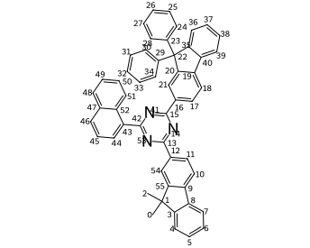 CC1(C)c2ccccc2-c2ccc(-c3nc(-c4ccc5c(c4)C(c4ccccc4)(c4ccccc4)c4ccccc4-5)nc(-c4cccc5ccccc45)n3)cc21